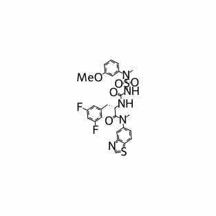 COc1cccc(N(C)S(=O)(=O)NC(=O)N[C@@H](Cc2cc(F)cc(F)c2)C(=O)N(C)c2ccc3scnc3c2)c1